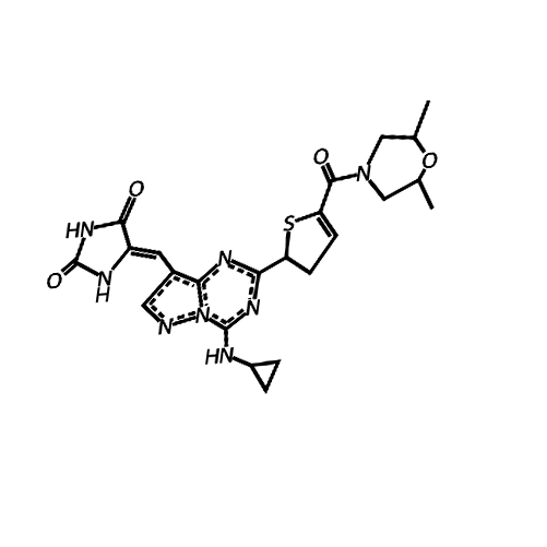 CC1CN(C(=O)C2=CCC(c3nc(NC4CC4)n4ncc(/C=C5\NC(=O)NC5=O)c4n3)S2)CC(C)O1